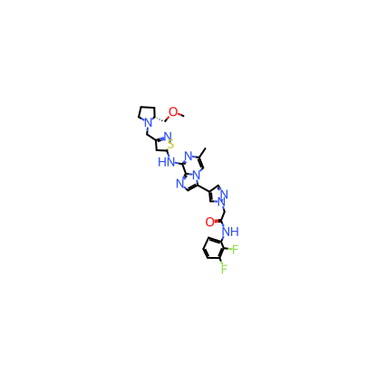 COC[C@H]1CCCN1CC1=NSC(Nc2nc(C)cn3c(-c4cnn(CC(=O)Nc5cccc(F)c5F)c4)cnc23)C1